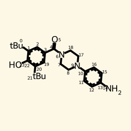 CC(C)(C)c1cc(C(=O)N2CCN(c3ccc(N)cc3)CC2)cc(C(C)(C)C)c1O